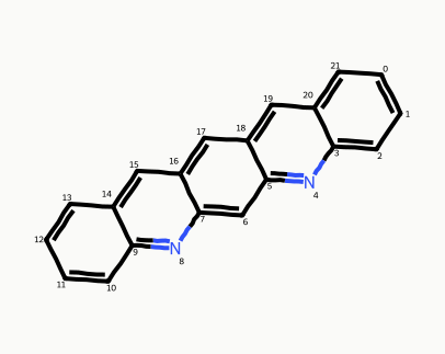 c1ccc2nc3cc4nc5ccccc5cc4cc3cc2c1